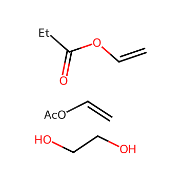 C=COC(=O)CC.C=COC(C)=O.OCCO